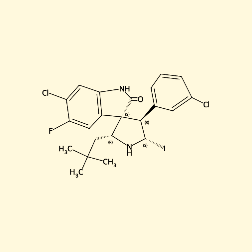 CC(C)(C)C[C@H]1N[C@@H](I)[C@H](c2cccc(Cl)c2)[C@@]12C(=O)Nc1cc(Cl)c(F)cc12